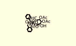 CC(=O)OC[C@@H](O)[C@@H](OC(C)=O)[C@H](OC(C)=O)[C@H](C=O)OC(C)=O.O=P(Cc1ccccc1)(Cc1ccccc1)OP(O)O